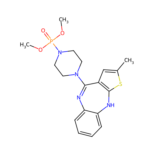 COP(=O)(OC)N1CCN(C2=Nc3ccccc3Nc3sc(C)cc32)CC1